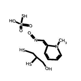 CN1C=CC=C/C1=C\N=O.O=S(=O)(O)S.OCC(S)CS